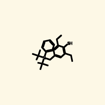 CCc1cc(C[Si](c2ccccc2)(C(C)(C)C)C(C)(C)C)cc(CC)c1S